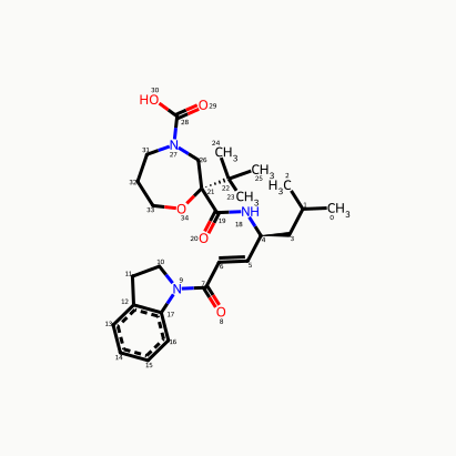 CC(C)C[C@@H](/C=C/C(=O)N1CCc2ccccc21)NC(=O)[C@]1(C(C)(C)C)CN(C(=O)O)CCCO1